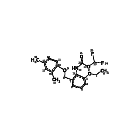 CCOc1cccc(COc2ccc(C)cc2C)c1NC(=O)OC(F)F